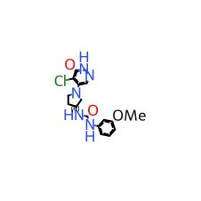 COc1cccc(NC(=O)N[C@@H]2CCN(c3cn[nH]c(=O)c3Cl)C2)c1